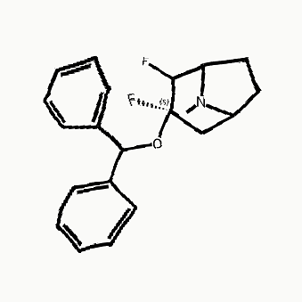 CN1C2CCC1C(F)[C@](F)(OC(c1ccccc1)c1ccccc1)C2